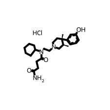 C[C@H]1CN(CCN(C(=O)CCC(N)=O)C2CCCCC2)CC[C@]1(C)c1cccc(O)c1.Cl